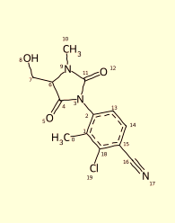 Cc1c(N2C(=O)C(CO)N(C)C2=O)ccc(C#N)c1Cl